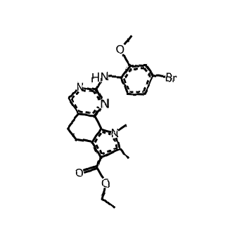 CCOC(=O)c1c2c(n(C)c1C)-c1nc(Nc3ccc(Br)cc3OC)ncc1CC2